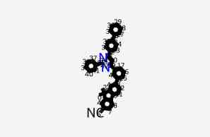 CC1(C)c2cc(C#N)ccc2-c2ccc(-c3cccc(-c4cc(-c5ccc(-c6ccccc6)cc5)nc(-c5ccccc5)n4)c3)cc21